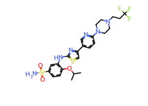 CC(C)Oc1ccc(S(N)(=O)=O)cc1Nc1nc(-c2ccc(N3CCN(CCC(F)(F)F)CC3)nc2)cs1